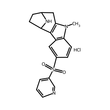 Cl.Cn1c2c(c3cc(S(=O)(=O)c4cccnc4)ccc31)C1CCC(C2)N1